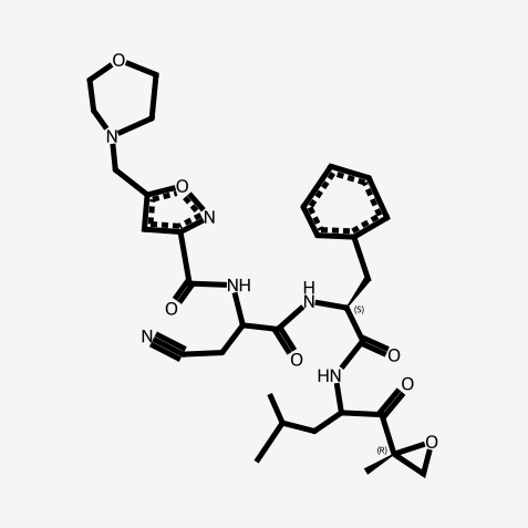 CC(C)CC(NC(=O)[C@H](Cc1ccccc1)NC(=O)C(CC#N)NC(=O)c1cc(CN2CCOCC2)on1)C(=O)[C@@]1(C)CO1